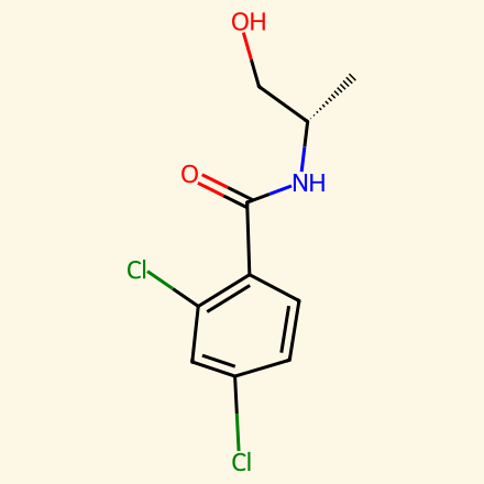 C[C@@H](CO)NC(=O)c1ccc(Cl)cc1Cl